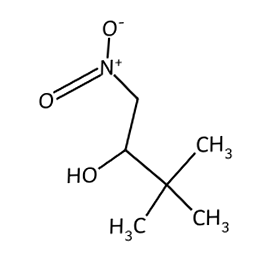 CC(C)(C)C(O)C[N+](=O)[O-]